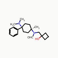 CN(C)[C@]1(c2ccccc2)CC[C@](C)(N(C=O)CC2(O)CCC2)CC1